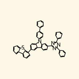 c1ccc(-c2ccc(-n3c4ccc(-c5cccc6c5sc5ccccc56)cc4c4ccc(-c5nc(-c6ccccc6)nc(-c6ccccc6)n5)cc43)cc2)cc1